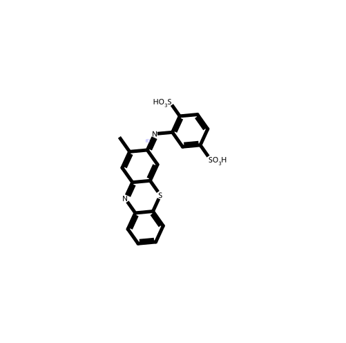 Cc1cc2nc3ccccc3sc-2c/c1=N\c1cc(S(=O)(=O)O)ccc1S(=O)(=O)O